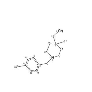 N#CCC1(I)CCN(Cc2ccc(F)cc2)CC1